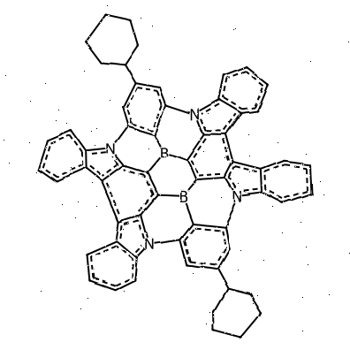 c1ccc2c(c1)c1c3c4ccccc4n4c3c3c5c1n2-c1cc(C2CCCCC2)cc2c1B5c1c5c6c(c7ccccc7n6-c6cc(C7CCCCC7)cc-4c6B35)c3c4ccccc4n-2c13